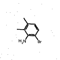 Cc1ccc(Br)c(N)c1C